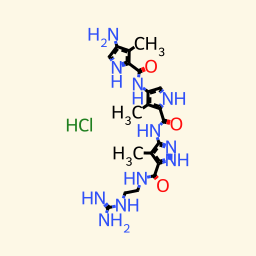 Cc1c(N)c[nH]c1C(=O)Nc1c[nH]c(C(=O)Nc2n[nH]c(C(=O)NCCNC(=N)N)c2C)c1C.Cl